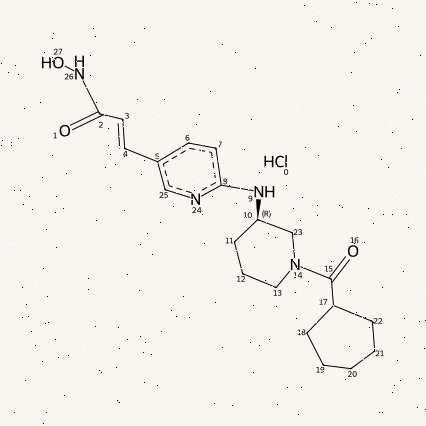 Cl.O=C(C=Cc1ccc(N[C@@H]2CCCN(C(=O)C3CCCCC3)C2)nc1)NO